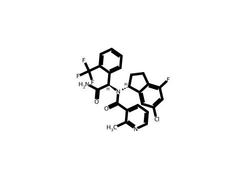 Cc1ncccc1C(=O)N([C@@H]1CCc2c(F)cc(Cl)cc21)[C@@H](C(N)=O)c1ccccc1C(F)(F)F